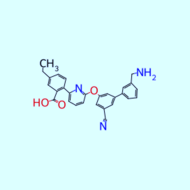 CCc1ccc(-c2cccc(Oc3cc(C#N)cc(-c4cccc(CN)c4)c3)n2)c(C(=O)O)c1